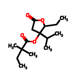 CCC1OC(=O)CC1(OC(=O)C(C)(C)CC)C(C)C